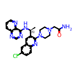 C[C@H](Nc1ncnc2cccnc12)c1cc2cc(Cl)ccc2nc1N1CCN(CC(N)=O)CC1